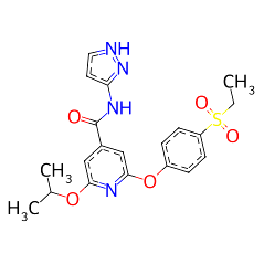 CCS(=O)(=O)c1ccc(Oc2cc(C(=O)Nc3cc[nH]n3)cc(OC(C)C)n2)cc1